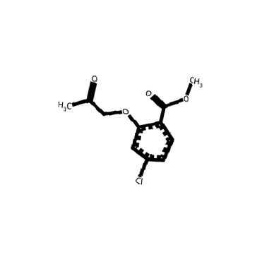 COC(=O)c1ccc(Cl)cc1OCC(C)=O